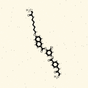 C=CC(=O)CCCCCCCOc1ccc2cc(C(=O)Oc3ccc(OC(=O)c4ccc(CC(=O)C=C)cc4)cc3CC)ccc2c1